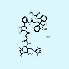 COC(=O)C(COC(=O)Nc1ccccc1C1CN(C(=O)NCC(=O)N[C@@H]2S[C@H]3CC(=O)N3C(C(=O)[O-])=C2CSc2nnnn2C)C(=O)N1)(c1ccccc1)c1ccccc1NC(=O)OC(C)(C)C.[Na+]